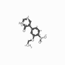 CCOc1cc(-c2cnc[nH]c2=O)ccc1[N+](=O)[O-]